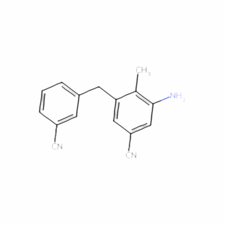 Cc1c(N)cc(C#N)cc1Cc1cccc(C#N)c1